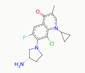 Cc1cn(C2CC2)c2c(Cl)c(N3CC[C@H](N)C3)c(F)cc2c1=O